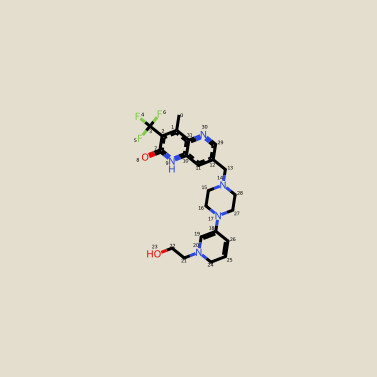 Cc1c(C(F)(F)F)c(=O)[nH]c2cc(CN3CCN(C4=CN(CCO)CC=C4)CC3)cnc12